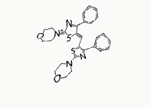 C(=C1/SC(=[N+]2CCOCC2)N=C1c1ccccc1)/c1sc(N2CCOCC2)nc1-c1ccccc1